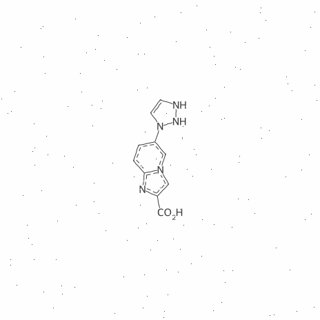 O=C(O)c1cn2cc(N3C=CNN3)ccc2n1